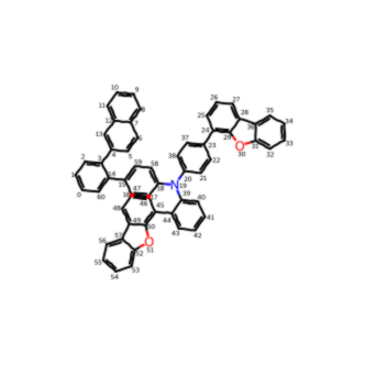 c1ccc(-c2ccc3ccccc3c2)c(-c2ccc(N(c3ccc(-c4cccc5c4oc4ccccc45)cc3)c3ccccc3-c3cccc4c3oc3ccccc34)cc2)c1